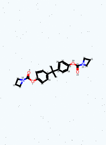 CC(C)(c1ccc(OC(=O)N2CCC2)cc1)c1ccc(OC(=O)N2CCC2)cc1